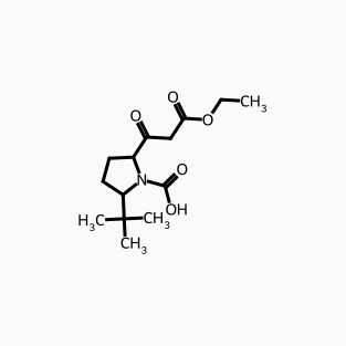 CCOC(=O)CC(=O)C1CCC(C(C)(C)C)N1C(=O)O